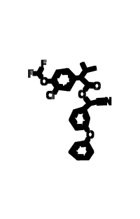 CC(C)C(C(=O)OC(C#N)c1cccc(Oc2ccccc2)c1)c1ccc(OC(F)F)c(Cl)c1